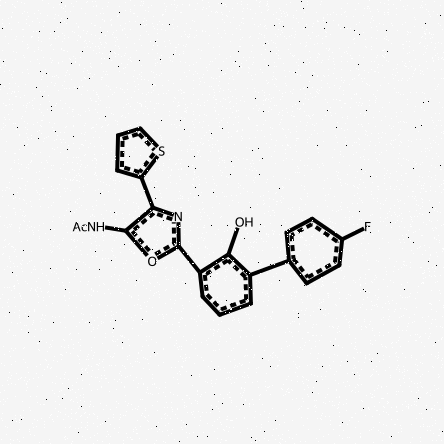 CC(=O)Nc1oc(-c2cccc(-c3ccc(F)cc3)c2O)nc1-c1cccs1